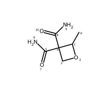 CC1OCC1(C(N)=O)C(N)=O